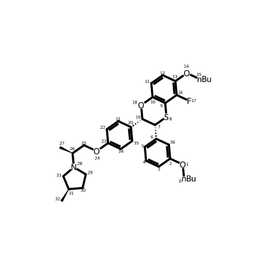 CCCCOc1cccc([C@H]2Sc3c(ccc(OCCCC)c3F)O[C@H]2c2ccc(OC[C@H](C)N3CC[C@@H](C)C3)cc2)c1